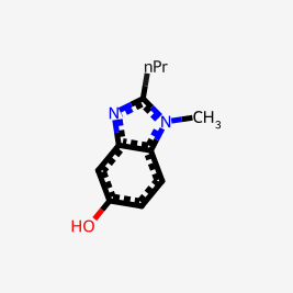 CCCc1nc2cc(O)ccc2n1C